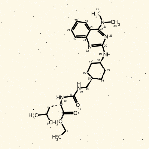 CCOC(=O)[C@H](CC(C)C)NC(=O)NC[C@H]1CC[C@@H](Nc2nc(N(C)C)c3ccccc3n2)CC1